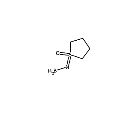 BN=S1(=O)CCCC1